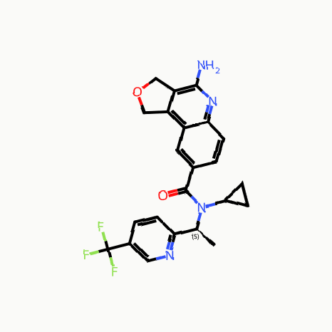 C[C@@H](c1ccc(C(F)(F)F)cn1)N(C(=O)c1ccc2nc(N)c3c(c2c1)COC3)C1CC1